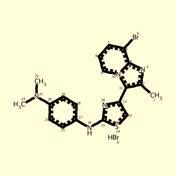 Br.Cc1nc2c(Br)cccn2c1-c1csc(Nc2ccc(N(C)C)cc2)n1